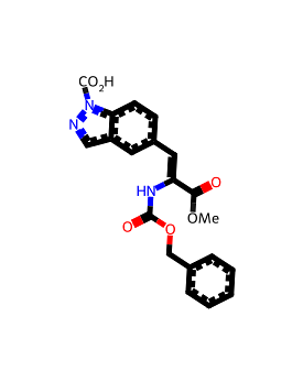 COC(=O)C(=Cc1ccc2c(cnn2C(=O)O)c1)NC(=O)OCc1ccccc1